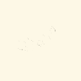 Cc1nc(C)c(C(=O)Nc2n[nH]c3c2CN(C(=O)N2C[C@@H]4CCCN4C[C@@H]2C)C3(C)C)o1